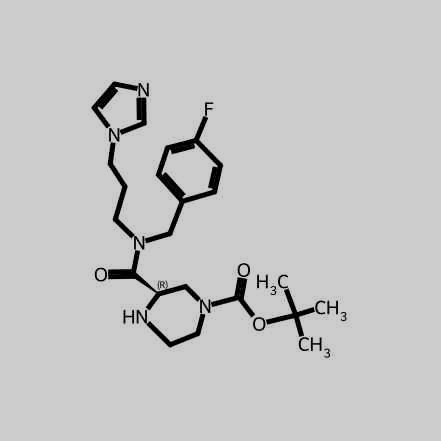 CC(C)(C)OC(=O)N1CCN[C@@H](C(=O)N(CCCn2ccnc2)Cc2ccc(F)cc2)C1